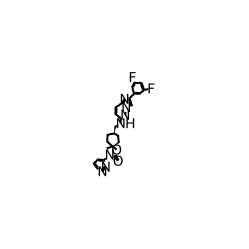 O=C1O[C@]2(CC[C@H](CNc3ccc4nc(-c5cc(F)cc(F)c5)cn4n3)CC2)CN1c1cccnn1